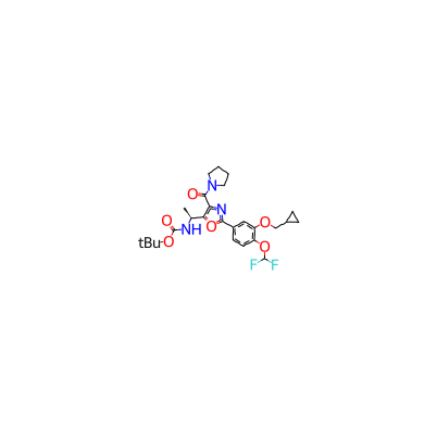 C[C@H](NC(=O)OC(C)(C)C)c1oc(-c2ccc(OC(F)F)c(OCC3CC3)c2)nc1C(=O)N1CCCC1